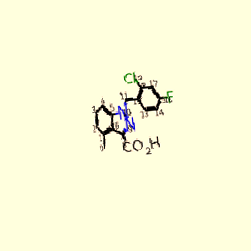 Cc1cccc2c1c(C(=O)O)nn2Cc1ccc(F)cc1Cl